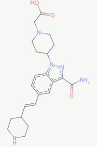 NC(=O)c1nn(C2CCN(CC(=O)O)CC2)c2ccc(/C=C/C3CCNCC3)cc12